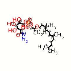 CC(C)=CCC/C(C)=C/CC/C(C)=C\COC(COP(=O)(O)O[C@H]1OC(C(N)=O)[C@H](O)[C@H](O)C1O)C(=O)O